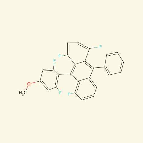 COc1cc(F)c(-c2c3c(F)cccc3c(-c3ccccc3)c3c(F)ccc(F)c23)c(F)c1